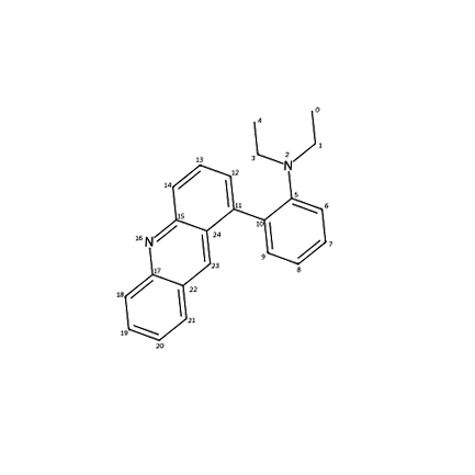 CCN(CC)c1ccccc1-c1cccc2nc3ccccc3cc12